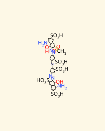 CS(=O)(=O)c1cc2cc(S(=O)(=O)O)cc(N)c2c(O)c1/N=N/c1ccc(/C=C/c2ccc(/N=N/c3c(S(=O)(=O)O)cc4cc(S(=O)(=O)O)cc(N)c4c3O)cc2S(=O)(=O)O)c(S(=O)(=O)O)c1